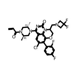 C=CC(=O)N1C[C@H](C)N(c2nc(=O)n3c4c(c(-c5ccc(F)cc5F)c(Cl)cc24)OCC3CN2CC(F)(F)C2)C[C@H]1C